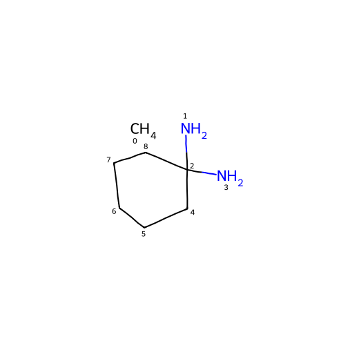 C.NC1(N)CCCCC1